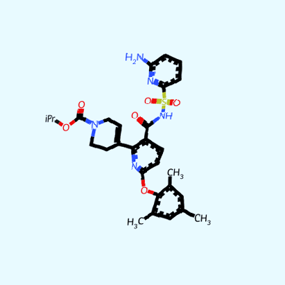 Cc1cc(C)c(Oc2ccc(C(=O)NS(=O)(=O)c3cccc(N)n3)c(C3=CCN(C(=O)OC(C)C)CC3)n2)c(C)c1